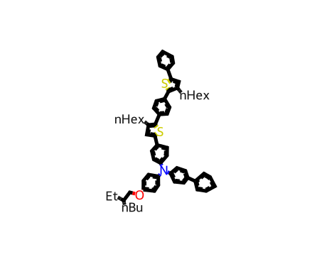 CCCCCCc1cc(-c2ccccc2)sc1-c1ccc(-c2sc(-c3ccc(N(c4ccc(OCC(CC)CCCC)cc4)c4ccc(-c5ccccc5)cc4)cc3)cc2CCCCCC)cc1